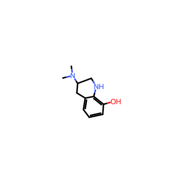 CN(C)C1CNc2c(O)cccc2C1